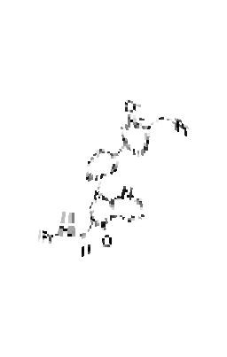 CC(C)Cc1ccc(-c2cccc(-n3cc(C(=O)NC(C)C)c(=O)c4cccnc43)c2)c[n+]1[O-]